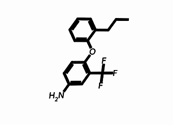 CCCc1ccccc1Oc1ccc(N)cc1C(F)(F)F